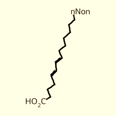 CCCCCCCCCCCCCCC/C=C/C=C/CCCC(=O)O